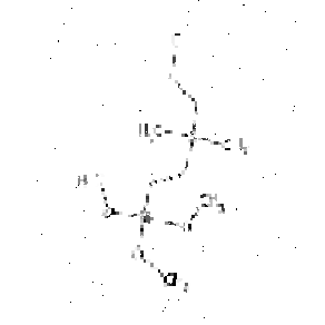 CO[Si](CC[Si](C)(C)CCF)(OC)OC